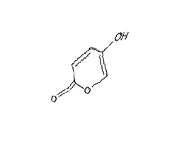 O=c1ccc(O)co1